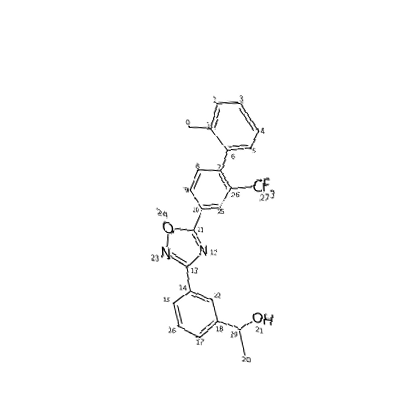 Cc1ccccc1-c1ccc(-c2nc(-c3cccc(C(C)O)c3)no2)cc1C(F)(F)F